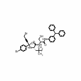 CC(C)(F)C[C@H](N[C@@](C#CCBr)(c1ccc(Br)cc1)C(F)(F)F)C(=O)N[C@@H](CS)C(=O)Nc1cccc(C(c2ccccc2)c2ccccc2)c1